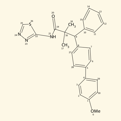 COc1ccc(-c2ccc(C(c3ccccc3)C(C)(C)C(=O)Nc3nncs3)cc2)cc1